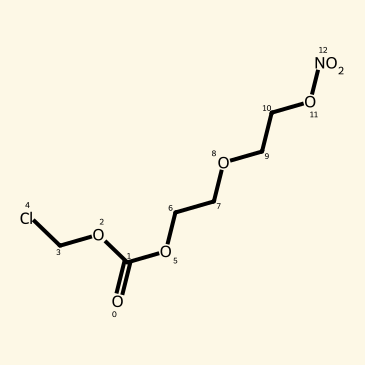 O=C(OCCl)OCCOCCO[N+](=O)[O-]